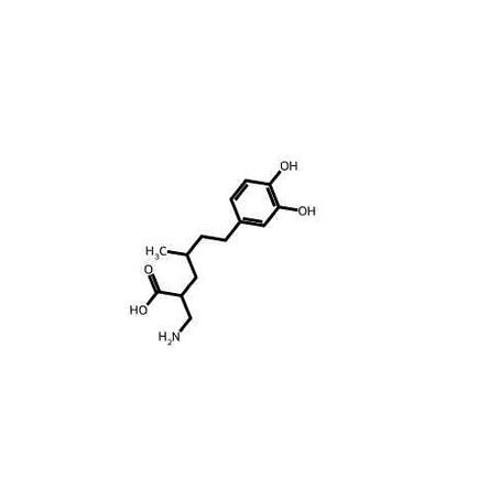 CC(CCc1ccc(O)c(O)c1)CC(CN)C(=O)O